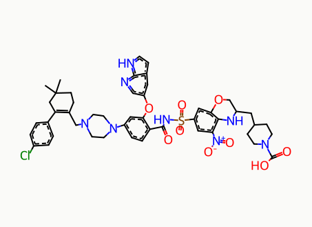 CC1(C)CCC(CN2CCN(c3ccc(C(=O)NS(=O)(=O)c4cc5c(c([N+](=O)[O-])c4)NC(CC4CCN(C(=O)O)CC4)CO5)c(Oc4cnc5[nH]ccc5c4)c3)CC2)=C(c2ccc(Cl)cc2)C1